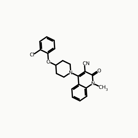 Cn1c(=O)c(C#N)c(N2CCC(Oc3ccccc3Cl)CC2)c2ccccc21